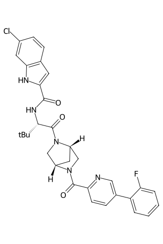 CC(C)(C)[C@H](NC(=O)c1cc2ccc(Cl)cc2[nH]1)C(=O)N1C[C@@H]2C[C@H]1CN2C(=O)c1ccc(-c2ccccc2F)cn1